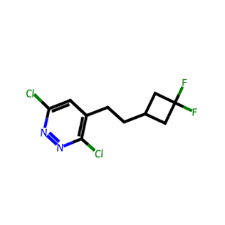 FC1(F)CC(CCc2cc(Cl)nnc2Cl)C1